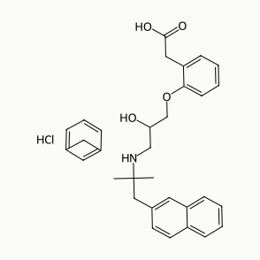 CC(C)(Cc1ccc2ccccc2c1)NCC(O)COc1ccccc1CC(=O)O.Cl.c1cc2cc(c1)C2